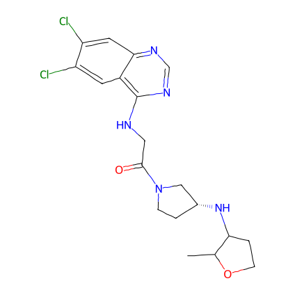 CC1OCCC1N[C@@H]1CCN(C(=O)CNc2ncnc3cc(Cl)c(Cl)cc23)C1